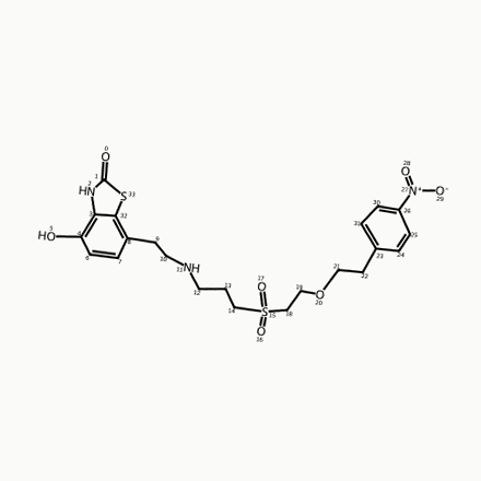 O=c1[nH]c2c(O)ccc(CCNCCCS(=O)(=O)CCOCCc3ccc([N+](=O)[O-])cc3)c2s1